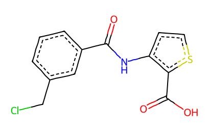 O=C(Nc1ccsc1C(=O)O)c1cccc(CCl)c1